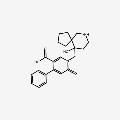 O=C(O)c1cn(CC2(O)CCNCC23CCCC3)c(=O)cc1-c1ccccc1